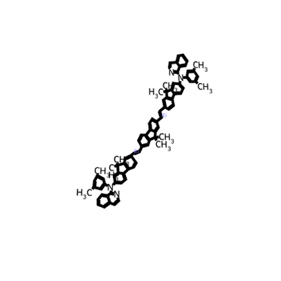 Cc1cc(C)cc(N(c2ccc3c(c2)C(C)(C)c2cc(/C=C/c4ccc5c(c4)C(C)(C)c4cc(/C=C/c6ccc7c(c6)C(C)(C)c6cc(N(c8cc(C)cc(C)c8)c8nccc9ccccc89)ccc6-7)ccc4-5)ccc2-3)c2nccc3ccccc23)c1